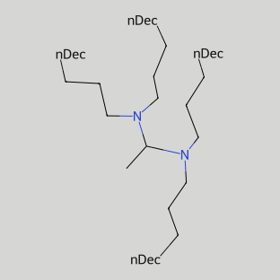 CCCCCCCCCCCCCN(CCCCCCCCCCCCC)C(C)N(CCCCCCCCCCCCC)CCCCCCCCCCCCC